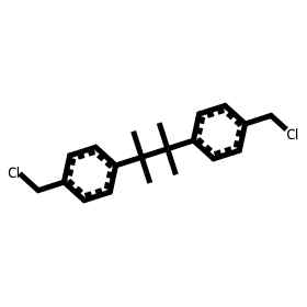 CC(C)(c1ccc(CCl)cc1)C(C)(C)c1ccc(CCl)cc1